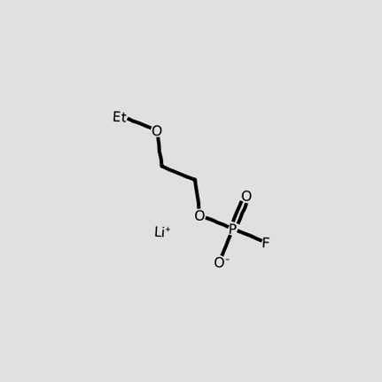 CCOCCOP(=O)([O-])F.[Li+]